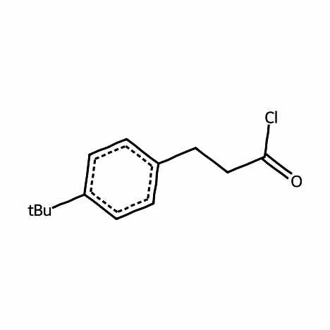 CC(C)(C)c1ccc(CCC(=O)Cl)cc1